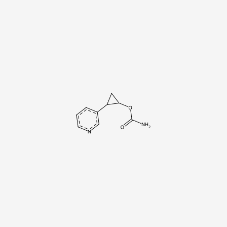 NC(=O)OC1CC1c1cccnc1